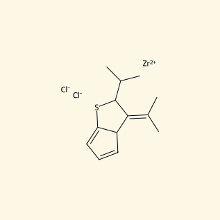 CC(C)=C1C2C=CC=C2SC1C(C)C.[Cl-].[Cl-].[Zr+2]